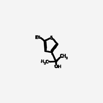 CCc1cc(C(C)(C)O)cs1